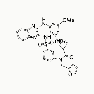 COc1cc(Nc2nc3ccccc3nc2NS(=O)(=O)c2cccc(N(Cc3ccco3)C(=O)C3CNC3)c2)cc(OC)c1